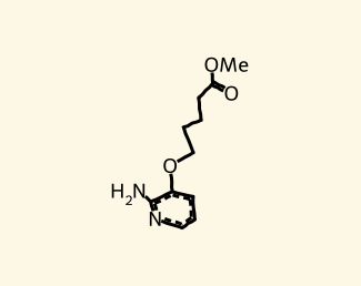 COC(=O)CCCCOc1cccnc1N